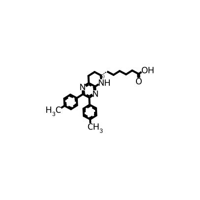 Cc1ccc(-c2nc3c(nc2-c2ccc(C)cc2)N[C@@H](CCCCCC(=O)O)CC3)cc1